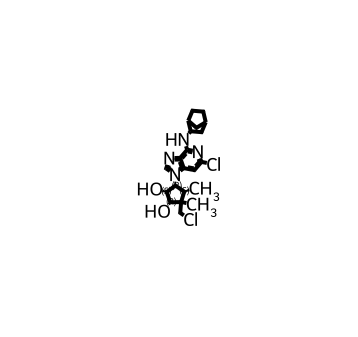 C[C@@H]1[C@@H](n2cnc3c(NC4CC5CCC4C5)nc(Cl)cc32)[C@H](O)[C@H](O)C1(C)CCl